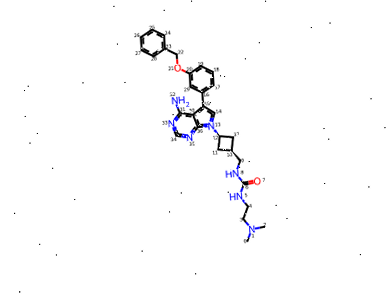 CN(C)CCNC(=O)NC[C@H]1C[C@@H](n2cc(-c3cccc(OCc4ccccc4)c3)c3c(N)ncnc32)C1